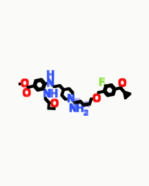 COC(=O)c1ccc(NCCC2CCN(/C(N)=C/C=C\COCc3ccc(C(=O)C4CC4)cc3F)CC2)c(NCC2CCO2)c1